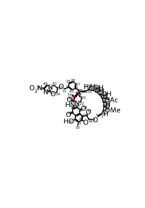 CO[C@H]1/C=C/O[C@@]2(C)Oc3c(C)c(O)c4c(c3C2=O)C(=O)C(N2CCN(Cc3cccc(CO[C@@H]5COc6nc([N+](=O)[O-])cn6C5)c3)CC2)=C(NC(=O)/C(C)=C\C=C\[C@H](C)[C@H](O)[C@@H](C)[C@@H](O)[C@@H](C)[C@H](OC(C)=O)[C@@H]1C)C4=O